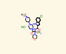 CN1CCC(N2CCN(C(=O)[C@@](C)(NC(=O)c3cc4cc(Cl)ccc4[nH]3)N3CCOCC3)CC2)CC1.Cl